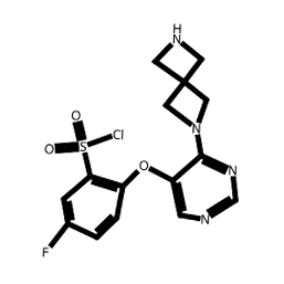 O=S(=O)(Cl)c1cc(F)ccc1Oc1cncnc1N1CC2(CNC2)C1